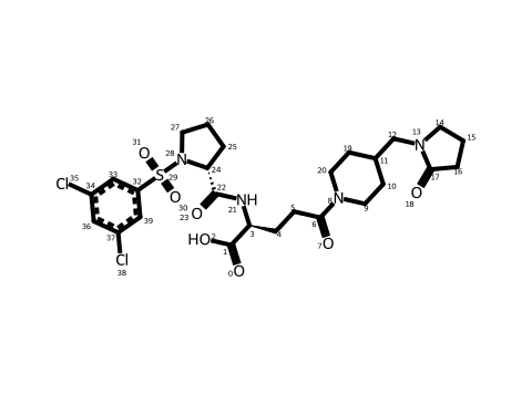 O=C(O)[C@H](CCC(=O)N1CCC(CN2CCCC2=O)CC1)NC(=O)[C@H]1CCCN1S(=O)(=O)c1cc(Cl)cc(Cl)c1